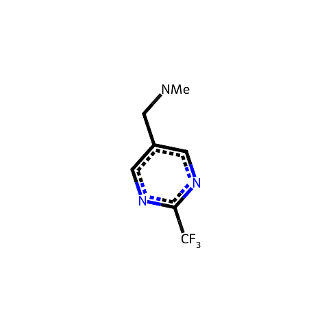 CNCc1cnc(C(F)(F)F)nc1